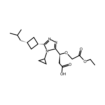 CCOC(=O)CO[C@@H](CC(=O)O)c1nnc([C@H]2C[C@@H](CC(C)C)C2)n1C1CC1